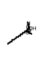 CCCCCCCCCCCCCCCCCCC(COP(O)OCCN(C)C)OC(=O)CCC